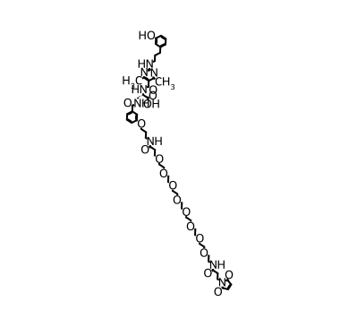 Cc1nc(NCCCc2cccc(O)c2)nc(C)c1C(=O)N[C@@H](CNC(=O)c1cccc(OCCCNC(=O)CCOCCOCCOCCOCCOCCOCCOCCOCCNC(=O)CCN2C(=O)C=CC2=O)c1)C(=O)O